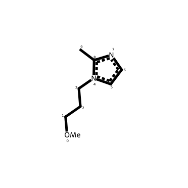 COCCCn1c[c]nc1C